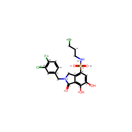 O=C1c2c(O)c(O)cc(S(=O)(=O)NCCCBr)c2CN1Cc1ccc(F)c(Cl)c1